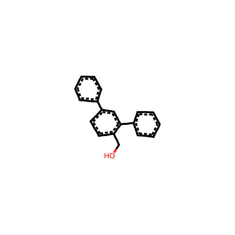 OCc1ccc(-c2ccccc2)cc1-c1ccccc1